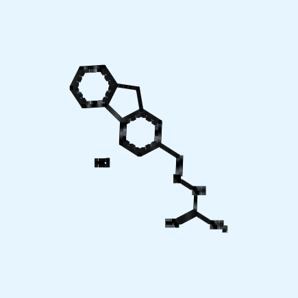 Cl.N=C(N)N/N=C/c1ccc2c(c1)Cc1ccccc1-2